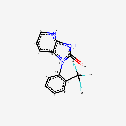 O=c1[nH]c2ncccc2n1-c1ccccc1C(F)(F)F